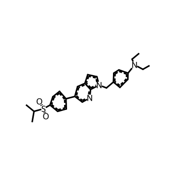 CCN(CC)c1ccc(Cn2ccc3cc(-c4ccc(S(=O)(=O)C(C)C)cc4)cnc32)cc1